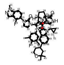 Cc1cc(-n2nc3c(c2-n2ccn(-c4ccc5c(cnn5C)c4F)c2=O)[C@@H]2CC[C@H](C3)N2S(=O)(=O)c2cc3cc(C4CCOC(C)(C)C4)ccc3n2[C@@]2(c3noc(=O)[nH]3)C[C@@H]2C)cc(C)c1F